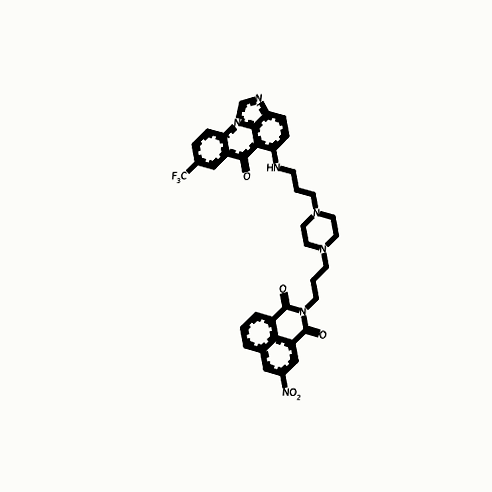 O=C1c2cccc3cc([N+](=O)[O-])cc(c23)C(=O)N1CCCN1CCN(CCCNc2ccc3ncn4c5ccc(C(F)(F)F)cc5c(=O)c2c34)CC1